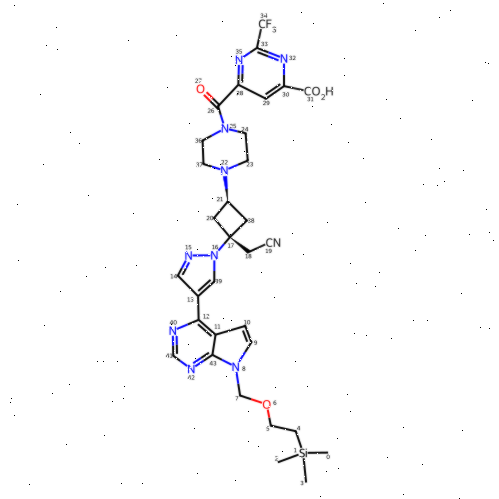 C[Si](C)(C)CCOCn1ccc2c(-c3cnn([C@]4(CC#N)C[C@@H](N5CCN(C(=O)c6cc(C(=O)O)nc(C(F)(F)F)n6)CC5)C4)c3)ncnc21